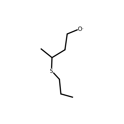 CCCSC(C)CC[O]